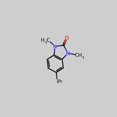 CC(C)c1ccc2c(c1)n(C)c(=O)n2C